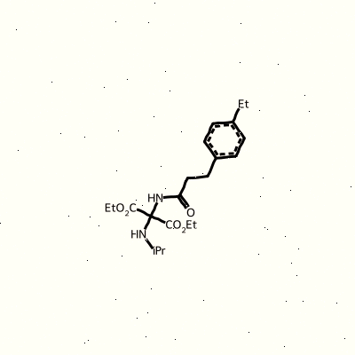 CCOC(=O)C(NC(=O)CCc1ccc(CC)cc1)(NC(C)C)C(=O)OCC